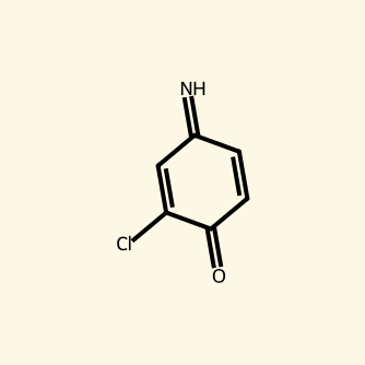 N=C1C=CC(=O)C(Cl)=C1